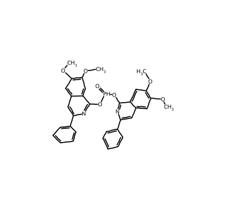 COc1cc2cc(-c3ccccc3)nc(O[PH](=O)Oc3nc(-c4ccccc4)cc4cc(OC)c(OC)cc34)c2cc1OC